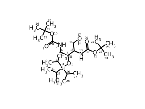 CC(C)[Si](O[C@@H](CNC(=O)OC(C)(C)C)C(CO)NC(=O)OC(C)(C)C)(C(C)C)C(C)C